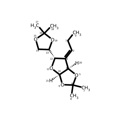 CC/C=C1/[C@H]2OC(C)(C)O[C@H]2O[C@@H]1C1COC(C)(C)O1